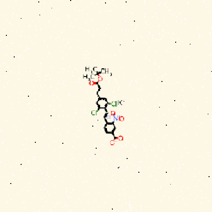 CC(C)(C)OC(=O)CCc1cc(Cl)c(/C=C/c2ccc(C(=O)[O-])cc2[N+](=O)[O-])c(Cl)c1.[K+]